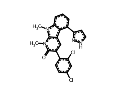 Cn1c(=O)c(-c2ccc(Cl)cc2Cl)cc2c3c(-c4cc[nH]n4)cccc3n(C)c21